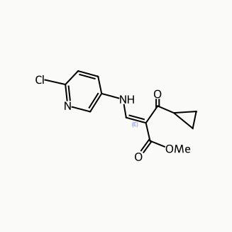 COC(=O)/C(=C/Nc1ccc(Cl)nc1)C(=O)C1CC1